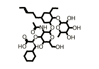 CC=CCCC1CC(CC)C(OC2OC(C)C(O)C(O)C2O)C(OC2OC(CO)C(O)C(O[C@@H](CC3CCCCC3)C(=O)O)C2NC(C)=O)C1